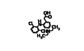 CCNCC.O=C(O)Cc1ccccc1Nc1c(Cl)cccc1Cl